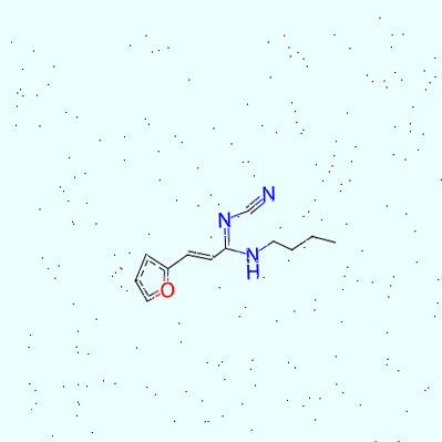 CCCCNC(C=Cc1ccco1)=NC#N